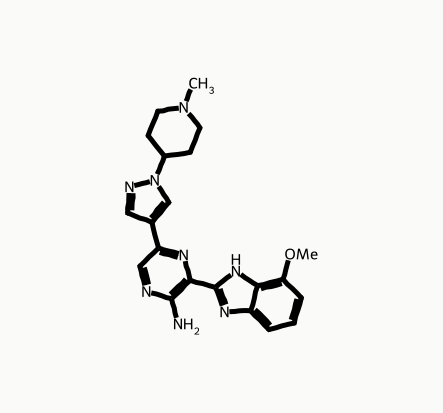 COc1cccc2nc(-c3nc(-c4cnn(C5CCN(C)CC5)c4)cnc3N)[nH]c12